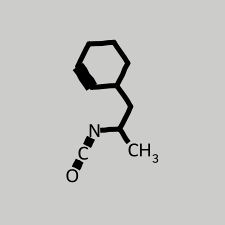 CC(CC1C#CCCC1)N=C=O